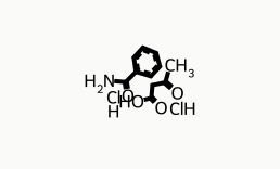 CC(=O)CC(=O)O.Cl.Cl.NC(=O)c1ccccc1